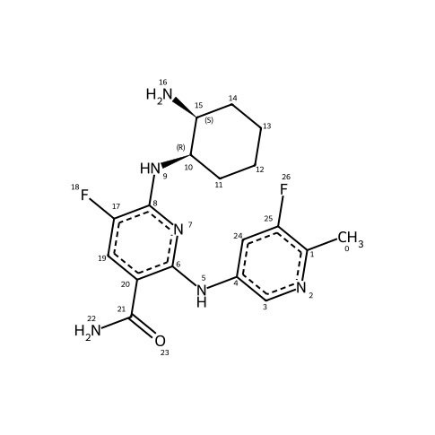 Cc1ncc(Nc2nc(N[C@@H]3CCCC[C@@H]3N)c(F)cc2C(N)=O)cc1F